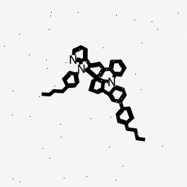 CCCCc1ccc(-c2ccc3c(c2)c2ccccc2n3-c2ccccc2-c2ccc3c(c2)c2cccnc2n3-c2ccc(CCCC)cc2)cc1